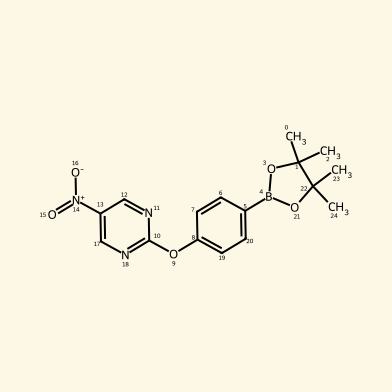 CC1(C)OB(c2ccc(Oc3ncc([N+](=O)[O-])cn3)cc2)OC1(C)C